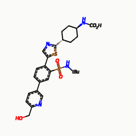 CC(C)(C)NS(=O)(=O)c1cc(-c2ccc(CO)nc2)ccc1-c1cnc([C@H]2CC[C@H](NC(=O)O)CC2)s1